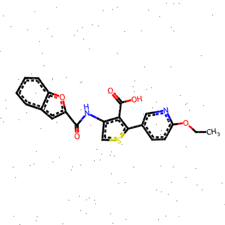 CCOc1ccc(-c2scc(NC(=O)c3cc4ccccc4o3)c2C(=O)O)cn1